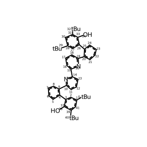 CC(C)(C)c1cc(-c2ccccc2-c2cccc(-c3cccc(-c4ccccc4-c4cc(C(C)(C)C)cc(C(C)(C)C)c4O)n3)n2)c(O)c(C(C)(C)C)c1